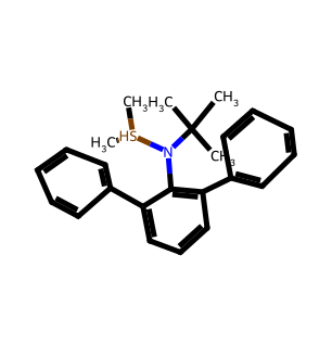 C[SH](C)N(c1c(-c2ccccc2)cccc1-c1ccccc1)C(C)(C)C